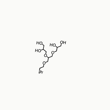 CC(C)CCOCC(COCC(O)CO)OCC(O)CO